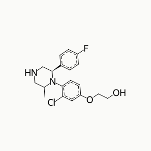 CC1CNC[C@@H](c2ccc(F)cc2)N1c1ccc(OCCO)cc1Cl